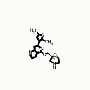 Cc1cc(-c2cc3ncccc3c(OC[C@@H]3CNCCO3)n2)c(C)s1